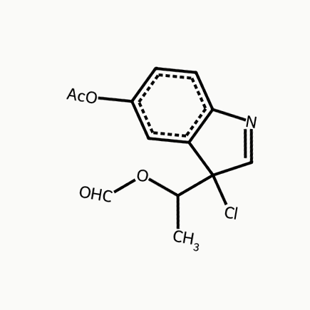 CC(=O)Oc1ccc2c(c1)C(Cl)(C(C)OC=O)C=N2